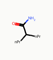 [CH2]CCC(CCC)C(N)=O